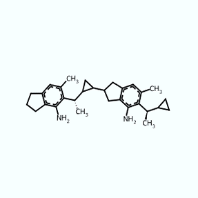 Cc1cc2c(c(N)c1[C@@H](C)C1CC1C1Cc3cc(C)c([C@H](C)C4CC4)c(N)c3C1)CCC2